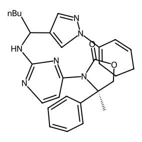 CCCCC(Nc1nccc(N2C(=O)OC[C@@]2(C)c2ccccc2)n1)c1cnn(C2=CCCC=C2)c1